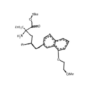 CCOC(=O)C(N)(CC(Cc1ccc2cccc(OCCOC)c2c1)C(C)C)C(=O)OC(C)(C)C